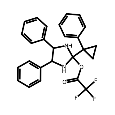 O=C(OC1(C2(c3ccccc3)CC2)NC(c2ccccc2)C(c2ccccc2)N1)C(F)(F)F